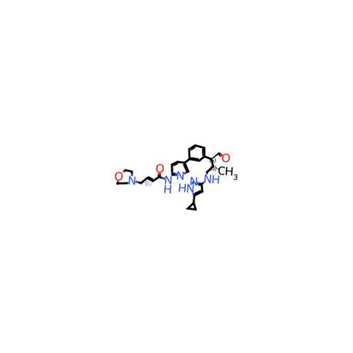 C[C@H](CNc1cc(C2CC2)[nH]n1)[C@H](C=O)c1cccc(-c2ccc(NC(=O)/C=C/CN3CCOCC3)nc2)c1